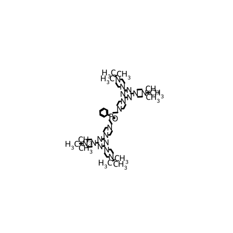 CC(C)(C)N1CCN(c2nc(N3CCN(CCP(=O)(CCN4CCN(c5nc(N6CCN(C(C)(C)C)CC6)nc(N6CCN(C(C)(C)C)CC6)n5)CC4)c4ccccc4)CC3)nc(N3CCN(C(C)(C)C)CC3)n2)CC1